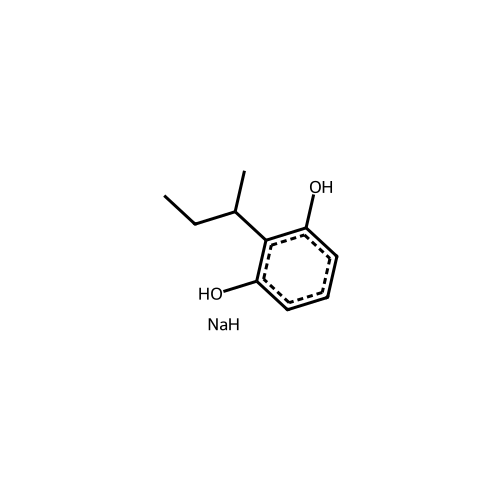 CCC(C)c1c(O)cccc1O.[NaH]